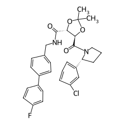 CC1(C)O[C@@H](C(=O)NCc2ccc(-c3ccc(F)cc3)cc2)[C@H](C(=O)N2CCC[C@@H]2c2cccc(Cl)c2)O1